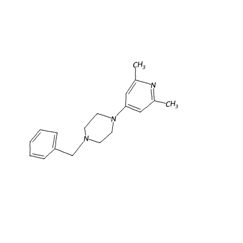 Cc1cc(N2CCN(Cc3ccccc3)CC2)cc(C)n1